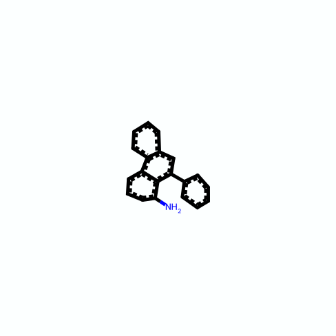 Nc1cccc2c1c(-c1ccccc1)cc1ccccc12